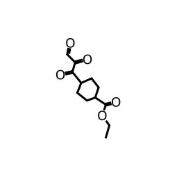 CCOC(=O)C1CCC(C(=O)C(=O)C=O)CC1